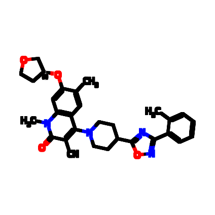 Cc1cc2c(N3CCC(c4nc(-c5ccccc5C)no4)CC3)c(C#N)c(=O)n(C)c2cc1O[C@@H]1CCOC1